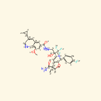 COc1cc(C(=O)NCC(O)(c2cc3c(c(-c4ccc(F)cc4)n2)OC[C@]3(C)C(N)=O)C(F)(F)F)cc2cc(C3CC3)cnc12